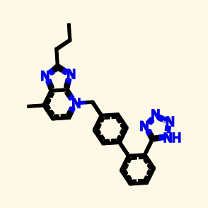 CCCc1nc2c(C)ccn(Cc3ccc(-c4ccccc4-c4nnn[nH]4)cc3)c-2n1